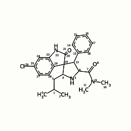 CC(C)CC1NC(C(=O)N(C)C)C(c2ccccc2)C12C(=O)Nc1cc(Cl)ccc12